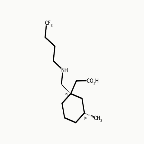 C[C@@H]1CCC[C@@](CNCCCC(F)(F)F)(CC(=O)O)C1